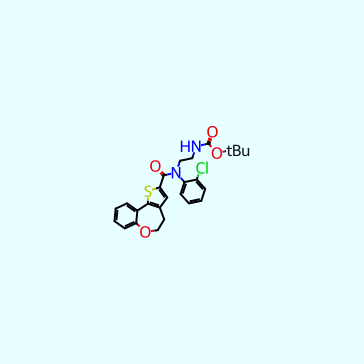 CC(C)(C)OC(=O)NCCN(C(=O)c1cc2c(s1)-c1ccccc1OCC2)c1ccccc1Cl